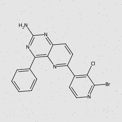 Nc1nc(-c2ccccc2)c2nc(-c3ccnc(Br)c3Cl)ccc2n1